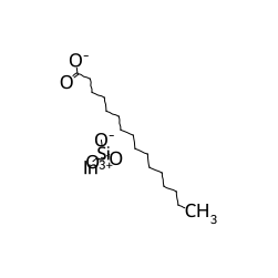 CCCCCCCCCCCCCCCC(=O)[O-].O=[Si]([O-])[O-].[In+3]